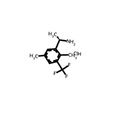 Cc1cc([C@@H](C)N)c(C)c(C(F)(F)F)c1.Cl